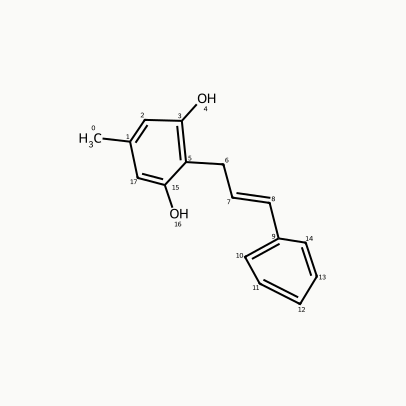 Cc1cc(O)c(CC=Cc2ccccc2)c(O)c1